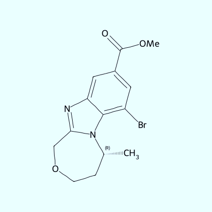 COC(=O)c1cc(Br)c2c(c1)nc1n2[C@H](C)CCOC1